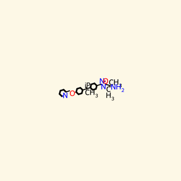 CC(C)C(C)(c1ccc(OCc2ccccn2)cc1)c1ccc(-c2noc(C(C)(C)N)n2)cc1